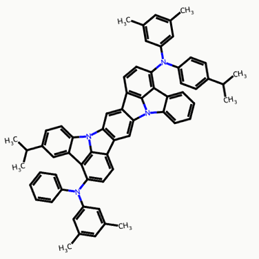 Cc1cc(C)cc(N(c2ccc(C(C)C)cc2)c2ccc3c4cc5c(cc4n4c6ccccc6c2c34)c2ccc(N(c3ccccc3)c3cc(C)cc(C)c3)c3c4cc(C(C)C)ccc4n5c23)c1